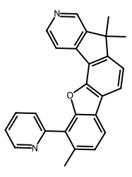 Cc1ccc2c(oc3c4c(ccc32)C(C)(C)c2cnccc2-4)c1-c1ccccn1